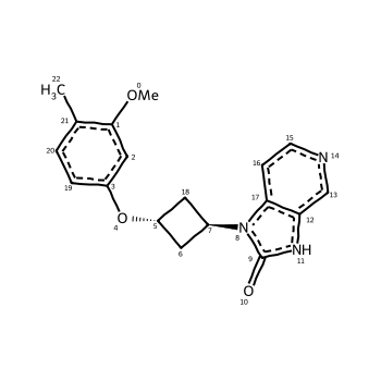 COc1cc(O[C@H]2C[C@H](n3c(=O)[nH]c4cnccc43)C2)ccc1C